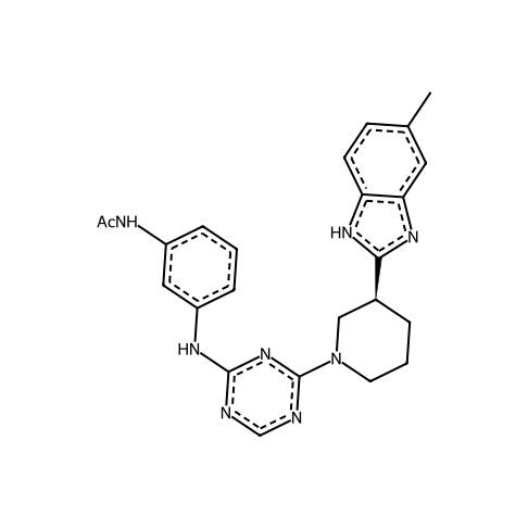 CC(=O)Nc1cccc(Nc2ncnc(N3CCC[C@H](c4nc5cc(C)ccc5[nH]4)C3)n2)c1